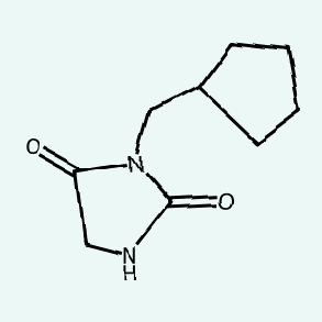 O=C1CNC(=O)N1CC1CCCC1